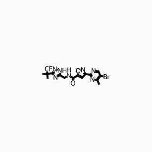 Cc1nc(-c2cc(C(=O)NCc3nc(C(C)(C)C(F)(F)F)n[nH]3)on2)ncc1Br